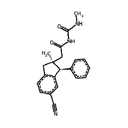 CNC(=O)NC(=O)C[C@]1(C)Cc2ccc(C#N)cc2[C@@H]1c1ccccc1